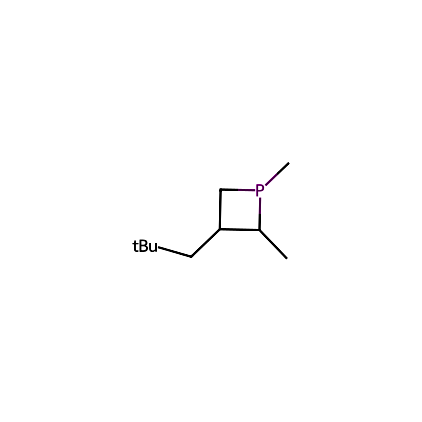 CC1C(CC(C)(C)C)CP1C